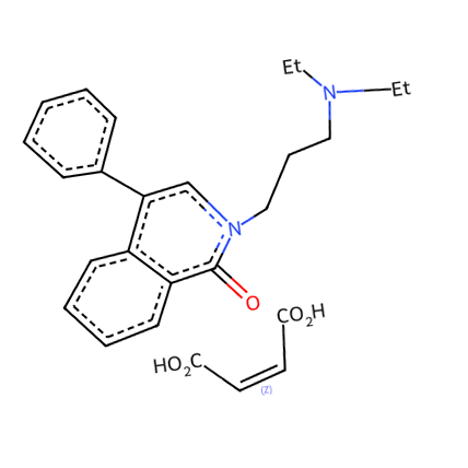 CCN(CC)CCCn1cc(-c2ccccc2)c2ccccc2c1=O.O=C(O)/C=C\C(=O)O